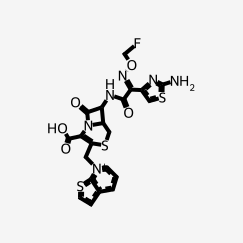 Nc1nc(C(=NOCF)C(=O)NC2C(=O)N3C(C(=O)O)=C(C[n+]4cccc5ccsc54)SCC23)cs1